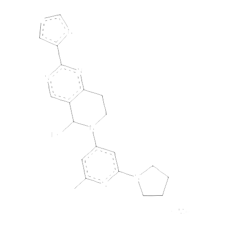 CO[C@H]1CCN(c2cc(N3CCc4nc(-c5cscn5)ncc4C3C)cc(F)n2)C1